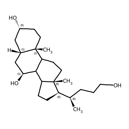 C[C@H](CCCO)[C@H]1CCC2C3C(CC[C@@]21C)[C@@]1(C)CC[C@@H](O)C[C@H]1C[C@@H]3O